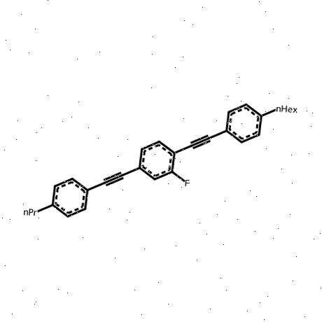 CCCCCCc1ccc(C#Cc2ccc(C#Cc3ccc(CCC)cc3)cc2F)cc1